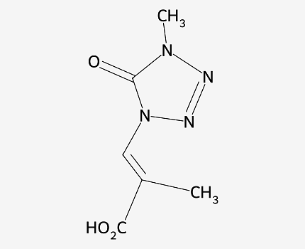 CC(=Cn1nnn(C)c1=O)C(=O)O